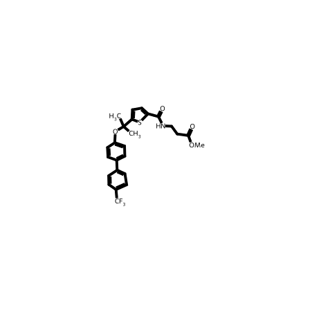 COC(=O)CCNC(=O)c1ccc(C(C)(C)Oc2ccc(-c3ccc(C(F)(F)F)cc3)cc2)s1